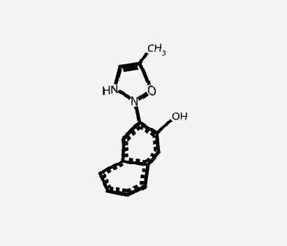 CC1=CNN(c2cc3ccccc3cc2O)O1